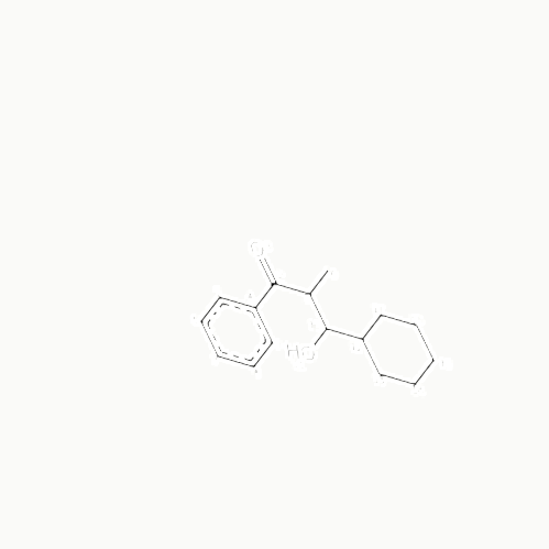 CC(C(=O)c1ccccc1)C(O)C1CCCCC1